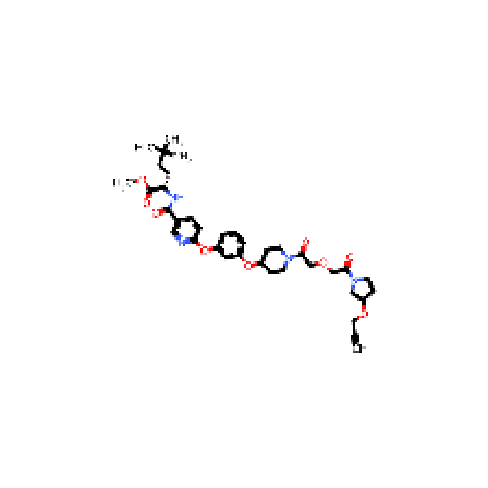 C#CCOC1CCN(C(=O)COCC(=O)N2CCC(Oc3cccc(Oc4ccc(C(=O)N[C@@H](CCC(C)(C)C)C(=O)OC)cn4)c3)CC2)C1